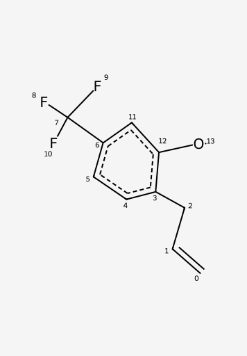 C=CCc1ccc(C(F)(F)F)cc1[O]